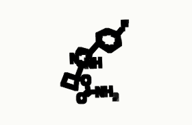 NC(=O)OC1(c2ncc(-c3ccc(F)cc3)[nH]2)CCC1